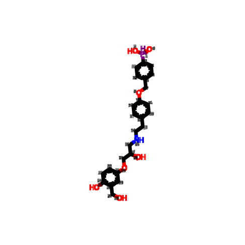 O=[PH](O)c1ccc(COc2ccc(CCNCC(O)COc3ccc(O)c(CO)c3)cc2)cc1